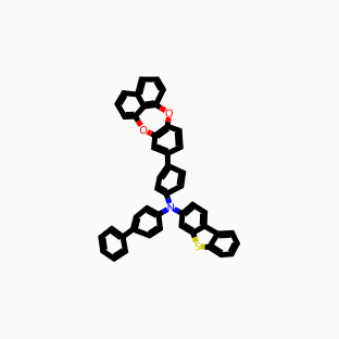 c1ccc(-c2ccc(N(c3ccc(-c4ccc5c(c4)Oc4cccc6cccc(c46)O5)cc3)c3ccc4c(c3)sc3ccccc34)cc2)cc1